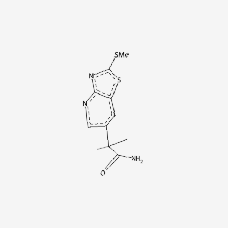 CSc1nc2ncc(C(C)(C)C(N)=O)cc2s1